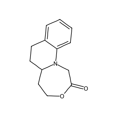 O=C1CN2c3ccccc3CCC2CCO1